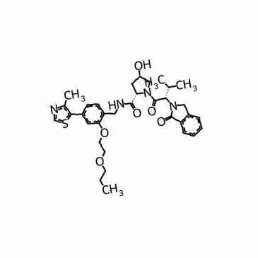 CCCOCCOc1cc(-c2scnc2C)ccc1CNC(=O)[C@@H]1C[C@@H](O)CN1C(=O)[C@H](C(C)C)N1Cc2ccccc2C1=O